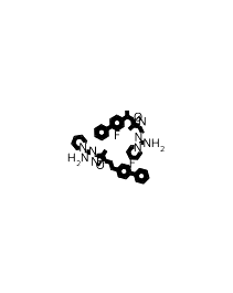 Cc1c(CN=C(N)N2CCCCC2)noc1C(C)c1ccc(-c2ccccc2)c(F)c1.Cc1c(N=C(N)N2CCCCC2)noc1CCc1ccc(-c2ccccc2)c(F)c1